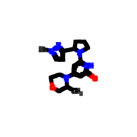 CCn1ccc(C2CCCN2c2cc(N3CCOCC3C)cc(=O)[nH]2)n1